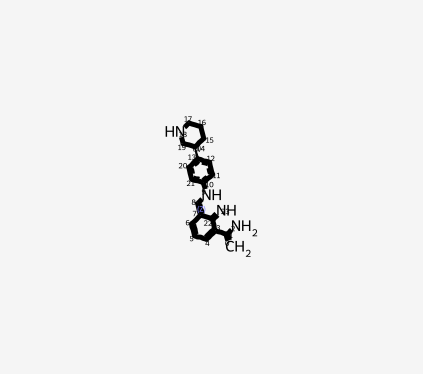 C=C(N)C1=CC=C/C(=C/Nc2ccc([C@@H]3CCCNC3)cc2)C1=N